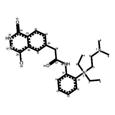 CC[N+](CC)(CCN(C)C)c1ccccc1NC(=O)Cc1ccc2c(=O)[nH]nc(Cl)c2c1